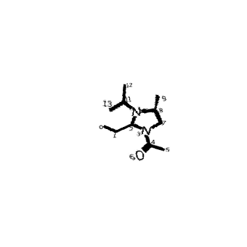 CCC1N(C(C)=O)C[C@H](C)N1C(C)C